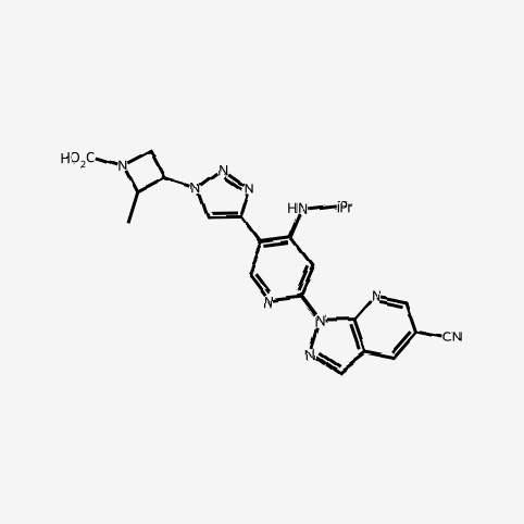 CC(C)Nc1cc(-n2ncc3cc(C#N)cnc32)ncc1-c1cn(C2CN(C(=O)O)C2C)nn1